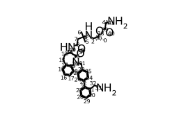 C[C@H](CNC(C)(C)CC(=O)N[C@@H]1CCc2ccccc2N(Cc2ccc(-c3ccccc3CN)cc2)C1=O)OC(=O)CN